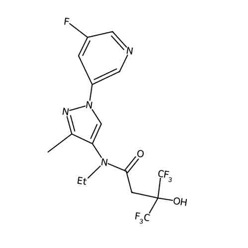 CCN(C(=O)CC(O)(C(F)(F)F)C(F)(F)F)c1cn(-c2cncc(F)c2)nc1C